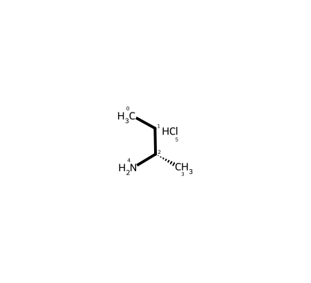 CC[C@H](C)N.Cl